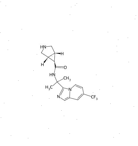 CC(C)(NC(=O)[C@H]1[C@@H]2CNC[C@@H]21)c1ncc2cc(C(F)(F)F)ccn12